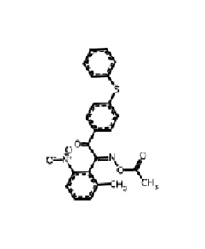 CC(=O)O/N=C(/C(=O)c1ccc(Sc2ccccc2)cc1)c1c(C)cccc1[N+](=O)[O-]